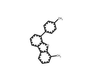 Cc1ccc(-c2cccc3c2oc2c(C)cccc23)cc1